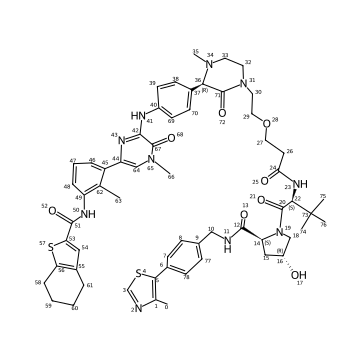 Cc1ncsc1-c1ccc(CNC(=O)[C@@H]2C[C@@H](O)CN2C(=O)[C@@H](NC(=O)CCOCCN2CCN(C)[C@H](c3ccc(Nc4nc(-c5cccc(NC(=O)c6cc7c(s6)CCCC7)c5C)cn(C)c4=O)cc3)C2=O)C(C)(C)C)cc1